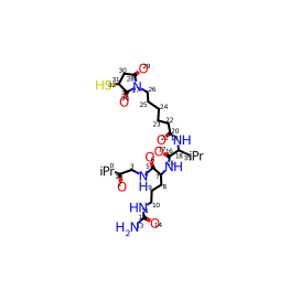 CC(C)C(=O)CNC(=O)C(CCCNC(N)=O)NC(=O)C(NC(=O)CCCCCN1C(=O)CC(S)C1=O)C(C)C